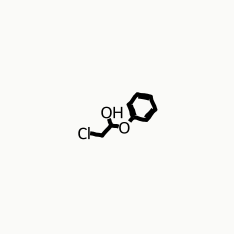 OC(CCl)Oc1ccccc1